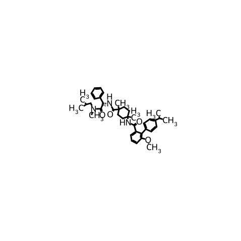 COc1cccc(C(=O)NC2(C)CCC(C)(C(=O)N[C@H](C(=O)N(C)CC(C)C)c3ccccc3)CC2)c1-c1ccc(C(C)C)cc1